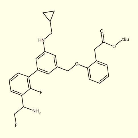 CC(C)(C)OC(=O)Cc1ccccc1OCc1cc(NCC2CC2)cc(-c2cccc(C(N)CF)c2F)c1